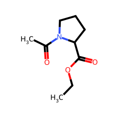 CCOC(=O)C1CCCN1C(C)=O